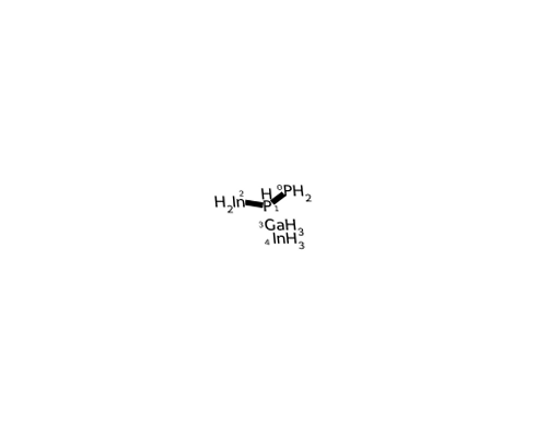 P[PH][InH2].[GaH3].[InH3]